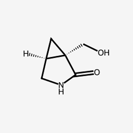 O=C1NC[C@H]2C[C@@]12CO